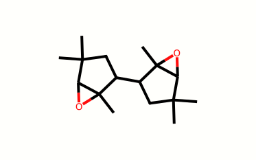 CC1(C)CC(C2CC(C)(C)C3OC23C)C2(C)OC12